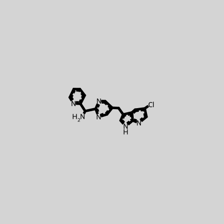 NC(c1ccccn1)c1ncc(Cc2c[nH]c3ncc(Cl)cc23)cn1